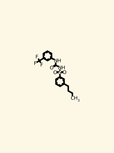 CCCCc1cccc(S(=O)(=O)NC(=O)Nc2cccc(C(F)(F)F)c2)c1